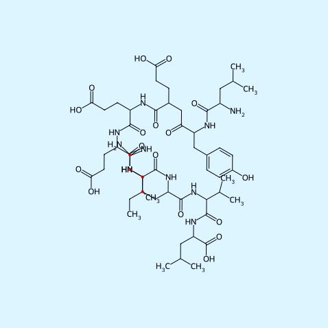 CCC(C)C(NC(=O)C(CCC(=O)O)NC(=O)C(CCC(=O)O)NC(=O)C(CCC(=O)O)CC(=O)C(Cc1ccc(O)cc1)NC(=O)C(N)CC(C)C)C(=O)NC(CCCNC(=N)N)C(=O)NC(C(=O)NC(CC(C)C)C(=O)O)C(C)C